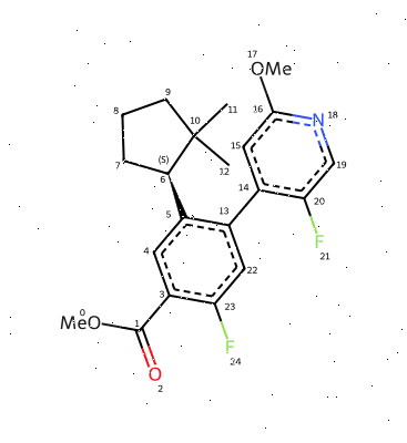 COC(=O)c1cc([C@H]2CCCC2(C)C)c(-c2cc(OC)ncc2F)cc1F